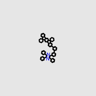 c1ccc(-c2nc(-c3ccccc3)c(-c3cccc(-c4cccc(-c5ccc6c(c5)C5(CCCCC5)c5cc7c(cc5-6)C5(CCCCC5)c5ccccc5-7)c4)c3)nc2-c2ccccc2)cc1